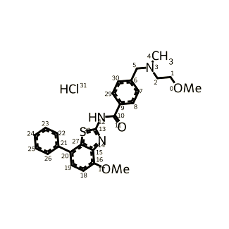 COCCN(C)Cc1ccc(C(=O)Nc2nc3c(OC)ccc(-c4ccccc4)c3s2)cc1.Cl